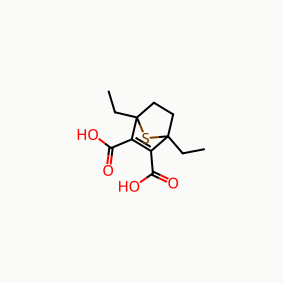 CCC12CCC(CC)(S1)C(C(=O)O)=C2C(=O)O